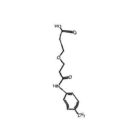 Cc1ccc(NC(=O)CCOCCC(=O)O)cc1